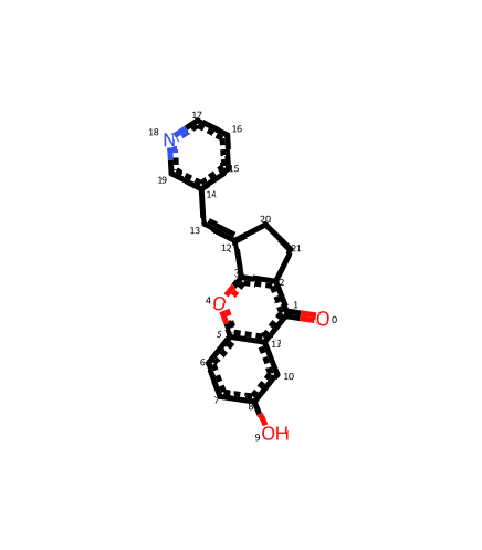 O=c1c2c(oc3ccc(O)cc13)/C(=C/c1cccnc1)CC2